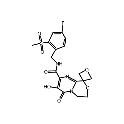 CS(=O)(=O)c1cc(F)ccc1CNC(=O)c1nc2n(c(=O)c1O)CCOC21COC1